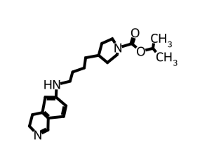 CC(C)OC(=O)N1CCC(CCCCNc2ccc3c(c2)CCN=C3)CC1